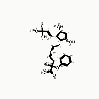 CC(C)([16OH])C=C[C@@H]1[C@@H](CC=C=CCC(Br)(Oc2ccccc2)C(=O)O)[C@@H]([16OH])C[C@H]1[16OH]